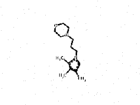 Cc1cn(CCCN2CCOCC2)c(C)c1C